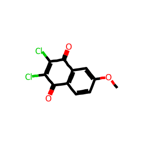 COc1ccc2c(c1)C(=O)C(Cl)=C(Cl)C2=O